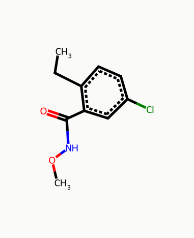 CCc1ccc(Cl)cc1C(=O)NOC